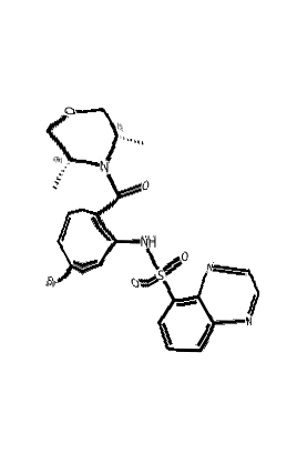 C[C@@H]1COC[C@H](C)N1C(=O)c1ccc(Br)cc1NS(=O)(=O)c1cccc2nccnc12